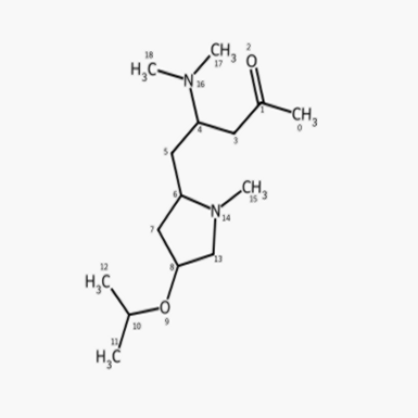 CC(=O)CC(CC1CC(OC(C)C)CN1C)N(C)C